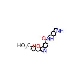 O=C(O)c1ccc(Cc2cnc3ccc(C(=O)NCc4ccc5[nH]ccc5c4)cc3c2O)cc1